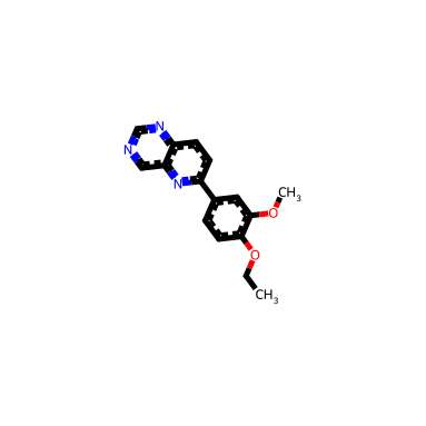 CCOc1ccc(-c2ccc3ncncc3n2)cc1OC